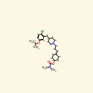 CC(C)Oc1ccc(Br)c(CC2CCN(CCCC3CCC(OC(=O)N(C)C)CC3)CC2)c1